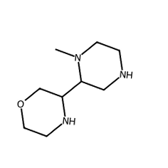 CN1CCNCC1C1COCCN1